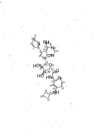 Cn1ccc(-c2cn([C@@H]3O[C@H](C(=O)Nc4cc(NC5CCC5)ccn4)[C@@H](O)[C@H]3O)c3ncnc(N)c23)n1